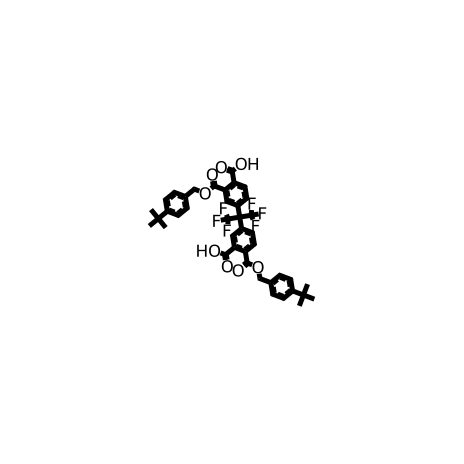 CC(C)(C)c1ccc(COC(=O)c2ccc(C(c3ccc(C(=O)O)c(C(=O)OCc4ccc(C(C)(C)C)cc4)c3)(C(F)(F)F)C(F)(F)F)cc2C(=O)O)cc1